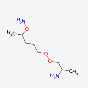 CC(N)COOCCCC(C)ON